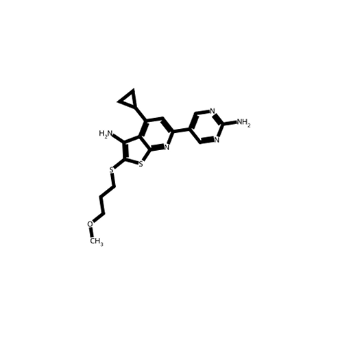 COCCCSc1sc2nc(-c3cnc(N)nc3)cc(C3CC3)c2c1N